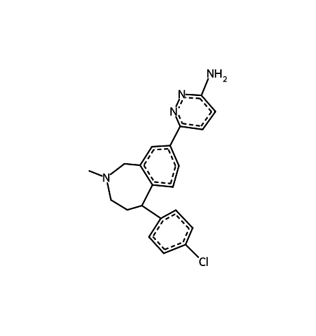 CN1CCC(c2ccc(Cl)cc2)c2ccc(-c3ccc(N)nn3)cc2C1